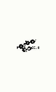 Cc1cc(-c2ccc(F)cc2)ccc1COc1ccc(F)cc1-c1ccnc(N2CCC(C(=O)O)CC2)n1